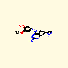 COC1CC(Nc2nc(N)nc3cc(-c4ccn[nH]4)ccc23)CC1O